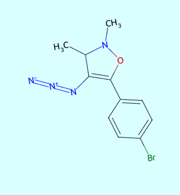 CC1C(N=[N+]=[N-])=C(c2ccc(Br)cc2)ON1C